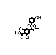 CCOP(=O)(c1cccc(O)c1)C(C)c1cc(Cl)c(C(=O)O)c(Cl)c1